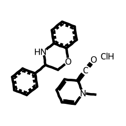 CN1C=CC=CC1=C=O.Cl.c1ccc(C2COc3ccccc3N2)cc1